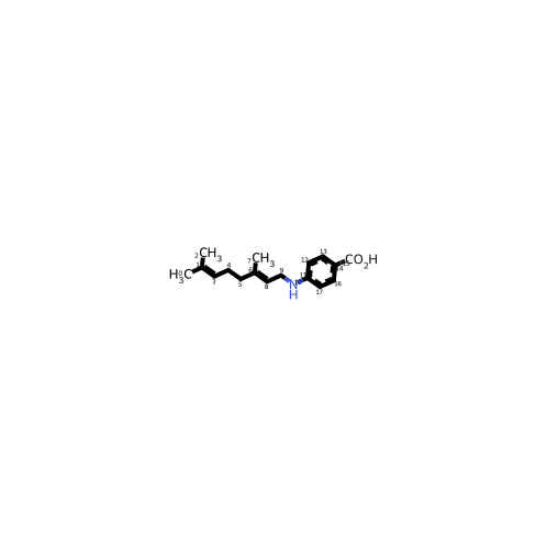 CC(C)=CCC/C(C)=C/CNc1ccc(C(=O)O)cc1